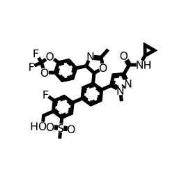 CC1=NC(c2ccc3c(c2)OC(F)(F)O3)C(c2cc(-c3cc(F)c(CO)c(S(C)(=O)=O)c3)ccc2-c2cc(C(=O)NC3CC3)nn2C)O1